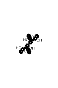 CC1(c2ccc(-c3ccc(C4(C)c5cc(O)c6ccccc6c5Oc5c4cc(O)c4ccccc54)cc3)cc2)c2cc(O)c3ccccc3c2Oc2c1cc(O)c1ccccc21